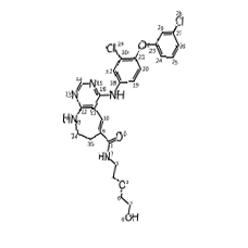 O=C(NCCOCCO)C1=Cc2c(ncnc2Nc2ccc(Oc3cccc(Cl)c3)c(Cl)c2)NCC1